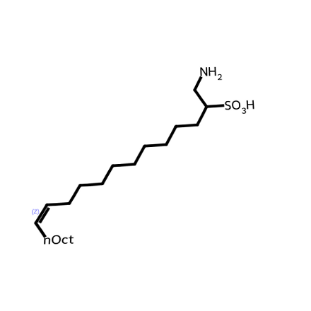 CCCCCCCC/C=C\CCCCCCCCCC(CN)S(=O)(=O)O